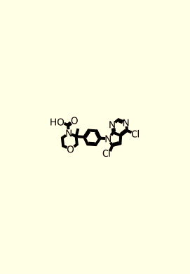 CC1(c2ccc(-n3c(Cl)cc4c(Cl)ncnc43)cc2)COCCN1C(=O)O